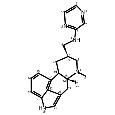 CN1C[C@H](CNc2cnccn2)CC2c3cccc4[nH]cc(c34)C[C@H]21